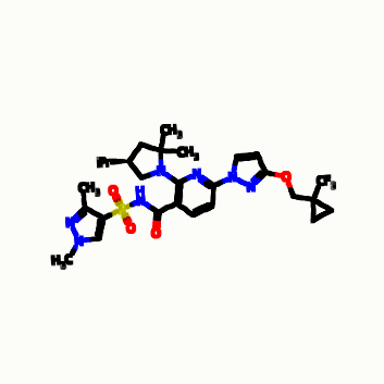 Cc1nn(C)cc1S(=O)(=O)NC(=O)c1ccc(-n2ccc(OCC3(C(F)(F)F)CC3)n2)nc1N1C[C@@H](C(C)C)CC1(C)C